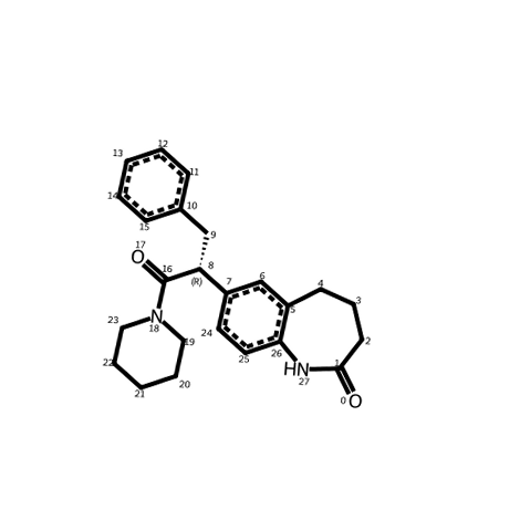 O=C1CCCc2cc([C@@H](Cc3ccccc3)C(=O)N3CCCCC3)ccc2N1